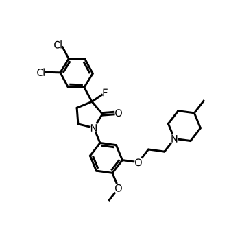 COc1ccc(N2CCC(F)(c3ccc(Cl)c(Cl)c3)C2=O)cc1OCCN1CCC(C)CC1